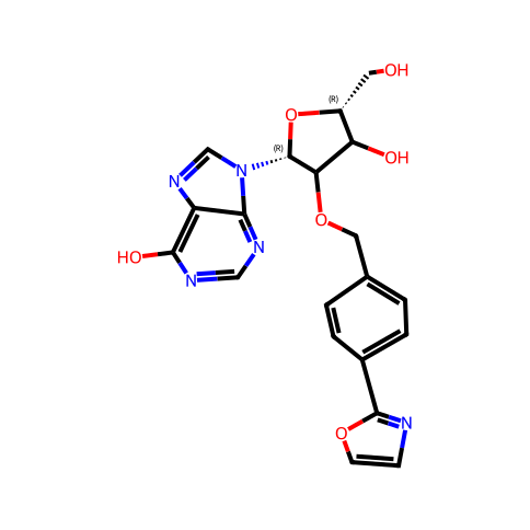 OC[C@H]1O[C@@H](n2cnc3c(O)ncnc32)C(OCc2ccc(-c3ncco3)cc2)C1O